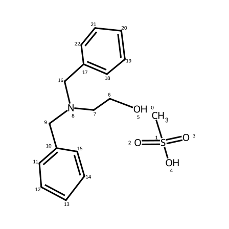 CS(=O)(=O)O.OCCN(Cc1ccccc1)Cc1ccccc1